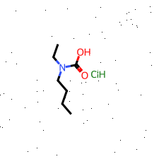 CCCCN(CC)C(=O)O.Cl